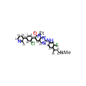 CCn1c(=O)c(-c2ccc(-c3cccnc3C)cc2Cl)cc2cnc(Nc3ccc(C(C)CCNC)c(F)c3)nc21